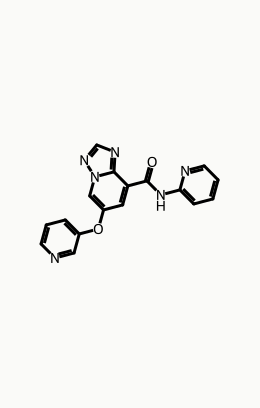 O=C(Nc1ccccn1)c1cc(Oc2cccnc2)cn2ncnc12